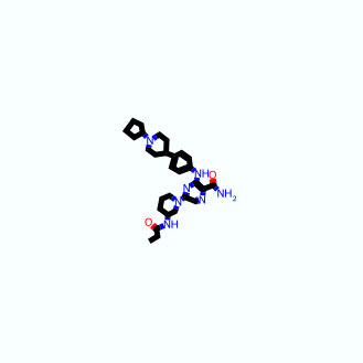 CCC(=O)NC1CCCN(c2cnc(C(N)=O)c(Nc3ccc(C4CCN(C5CCCC5)CC4)cc3)n2)C1